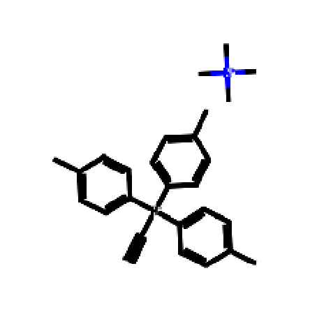 C#C[B-](c1ccc(C)cc1)(c1ccc(C)cc1)c1ccc(C)cc1.C[N+](C)(C)C